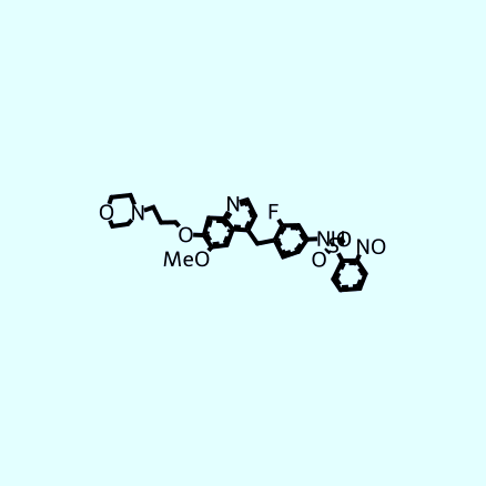 COc1cc2c(Cc3ccc(NS(=O)(=O)c4ccccc4N=O)cc3F)ccnc2cc1OCCCN1CCOCC1